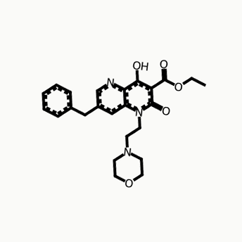 CCOC(=O)c1c(O)c2ncc(Cc3ccccc3)cc2n(CCN2CCOCC2)c1=O